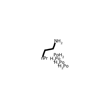 CCCCCN.[PoH2].[PoH2].[PoH2].[PoH2]